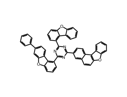 c1ccc(-c2ccc3c(c2)oc2cccc(-c4nc(-c5ccc6c(ccc7oc8ccccc8c76)c5)nc(-c5cccc6oc7ccccc7c56)n4)c23)cc1